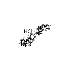 Cl.O=C1O[C@]2(CC[C@H](CNc3ccc(OC4CCCC4)nn3)CC2)CN1c1cccnc1F